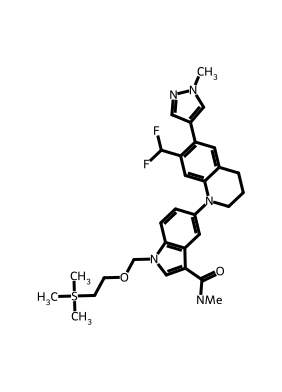 CNC(=O)c1cn(COCCS(C)(C)C)c2ccc(N3CCCc4cc(-c5cnn(C)c5)c(C(F)F)cc43)cc12